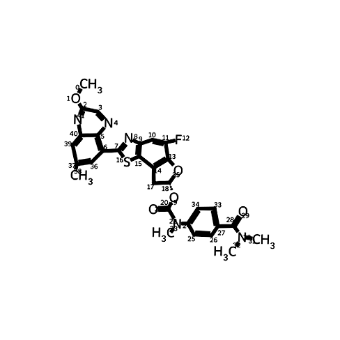 COc1cnc2c(-c3nc4cc(F)c5c(c4s3)C[C@@H](OC(=O)N(C)c3ccc(C(=O)N(C)C)cc3)O5)cc(C)cc2n1